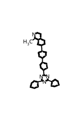 Cc1nccc2ccc(-c3ccc(-c4ccc(-c5nc(-c6ccccc6)nc(-c6ccccc6)n5)cc4)cc3)cc12